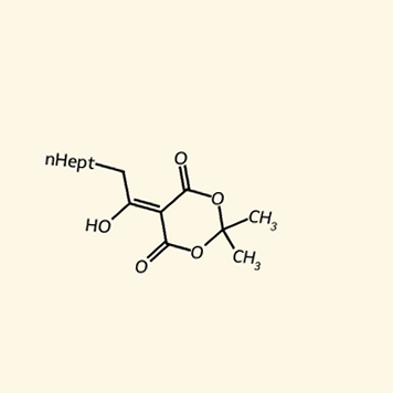 CCCCCCCCC(O)=C1C(=O)OC(C)(C)OC1=O